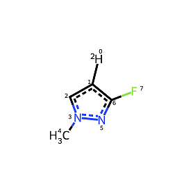 [2H]c1cn(C)nc1F